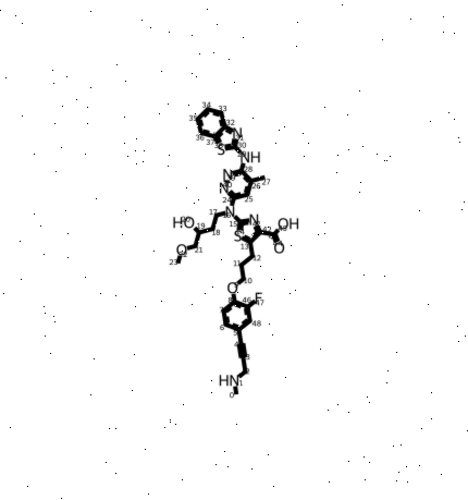 CNCC#Cc1ccc(OCCCc2sc(N(CCC(O)COC)c3cc(C)c(Nc4nc5ccccc5s4)nn3)nc2C(=O)O)c(F)c1